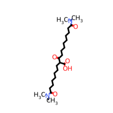 CN(C)C(=O)CCCCCCCCC(=O)C(CCCCCCCC(=O)N(C)C)C(=O)O